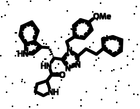 COc1ccc(Cn2c(CCc3ccccc3)nnc2[C@@H](Cc2c[nH]c3ccccc23)NC(=O)C2CCCN2)cc1